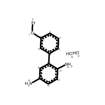 CCOc1cccc(-c2cc(N)ccc2N)c1.Cl.Cl